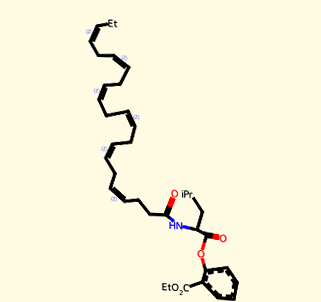 CC/C=C\C/C=C\C/C=C\C/C=C\C/C=C\C/C=C\CCC(=O)NC(CC(C)C)C(=O)Oc1ccccc1C(=O)OCC